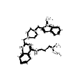 CN(C)CCCNc1nc(CN2CCN(Cc3cc4ccccc4n3C)CC2)nc2ccccc12